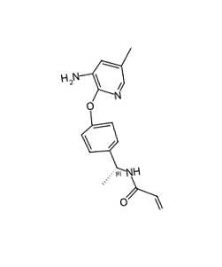 C=CC(=O)N[C@H](C)c1ccc(Oc2ncc(C)cc2N)cc1